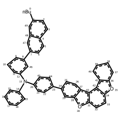 CCCCc1ccc2ccc(-c3cccc(N(c4ccccc4)c4ccc(-c5ccc6c(c5)oc5ccc7oc8ccccc8c7c56)cc4)c3)cc2c1